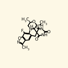 CC[C@@H]1O[C@H](C)CN2c3c(cc4c(C)noc4c3F)CC3(C(=O)NC(=O)NC3=O)[C@@H]12